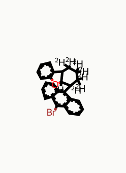 [2H]C1([2H])C2c3ccccc3OC2([2H])C([2H])(c2c3ccccc3c(Br)c3ccccc23)C([2H])([2H])C1([2H])[2H]